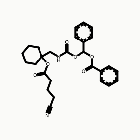 N#CCCCC(=O)OC1(CNC(=O)OC(OC(=O)c2ccccc2)c2ccccc2)CCCCC1